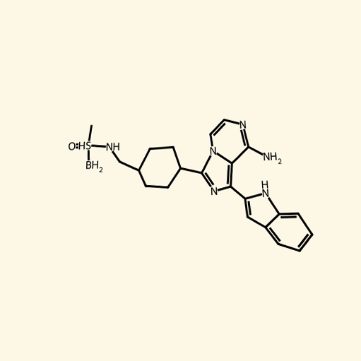 B[SH](C)(=O)NCC1CCC(c2nc(-c3cc4ccccc4[nH]3)c3c(N)nccn23)CC1